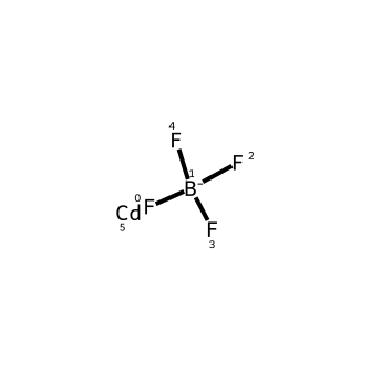 F[B-](F)(F)F.[Cd]